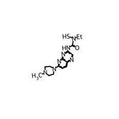 CCN(S)C(=O)Nc1cnc2ccc(N3CCN(C)CC3)nc2n1